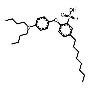 CCCCCCCCc1ccc(Oc2ccc(N(CCCC)CCCC)cc2)c(S(=O)(=O)O)c1